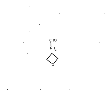 C1COC1.NC=O